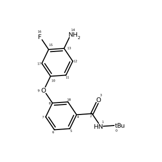 CC(C)(C)NC(=O)c1cccc(Oc2ccc(N)c(F)c2)c1